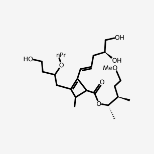 CCCOC(CCO)CC1=C(/C=C/C[C@H](O)CO)C(C(=O)O[C@@H](C)[C@H](C)CCOC)C1C